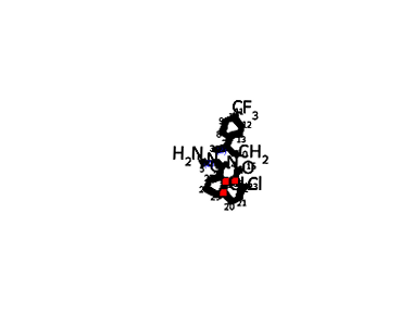 C=C(/C(=C\N=C/N)c1ccc(C(F)(F)F)cc1)N(C(=O)c1ccccc1Cl)C(=O)c1ccccc1Cl